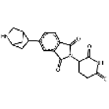 O=C1CCC(N2C(=O)c3ccc(C4CC5CC4CN5)cc3C2=O)C(=O)N1